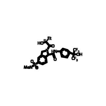 CC[C@@H](O)C(=O)N1Cc2cc(S(=O)(=O)NC)ccc2C1C(=O)Nc1ccc(C(O)(C(F)(F)F)C(F)(F)F)cc1